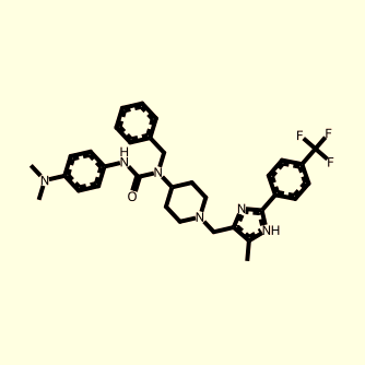 Cc1[nH]c(-c2ccc(C(F)(F)F)cc2)nc1CN1CCC(N(Cc2ccccc2)C(=O)Nc2ccc(N(C)C)cc2)CC1